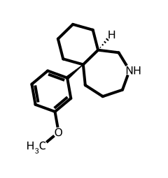 COc1cccc([C@@]23CCCC[C@H]2CNCCC3)c1